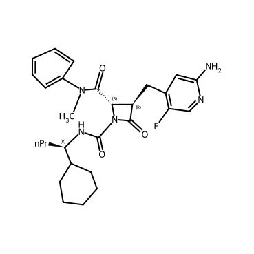 CCC[C@@H](NC(=O)N1C(=O)[C@H](Cc2cc(N)ncc2F)[C@H]1C(=O)N(C)c1ccccc1)C1CCCCC1